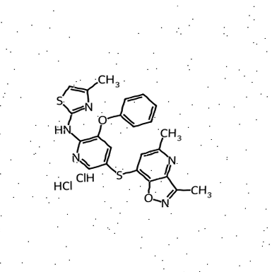 Cc1csc(Nc2ncc(Sc3cc(C)nc4c(C)noc34)cc2Oc2ccccc2)n1.Cl.Cl